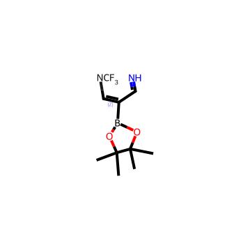 CC1(C)OB(/C(C=N)=C/NC(F)(F)F)OC1(C)C